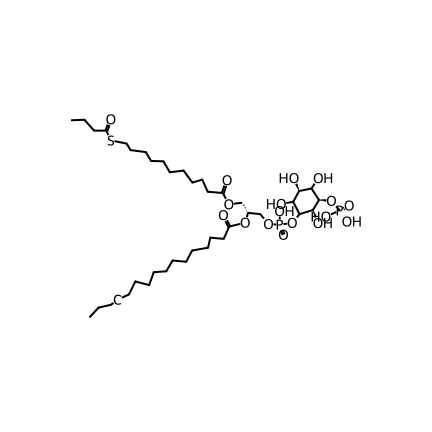 CCCCCCCCCCCCCCCC(=O)O[C@H](COC(=O)CCCCCCCCCCSC(=O)CCC)COP(=O)(O)OC1C(O)[C@@H](O)C(O)[C@@H](OP(=O)(O)O)[C@H]1O